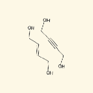 OC/C=C/CO.OCC#CCO